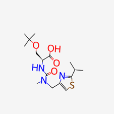 CC(C)c1nc(CN(C)C(=O)N[C@@H](COC(C)(C)C)C(=O)O)cs1